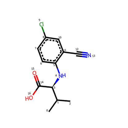 CC(C)[C@H](Nc1ccc(Cl)cc1C#N)C(=O)O